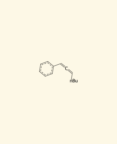 CCCCC=C=Cc1ccccc1